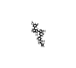 COc1cc(F)cc(-c2cncc3[nH]c(-c4n[nH]c5ncc(-c6cncc(NC(=O)C7CCC7)c6)cc45)cc23)c1